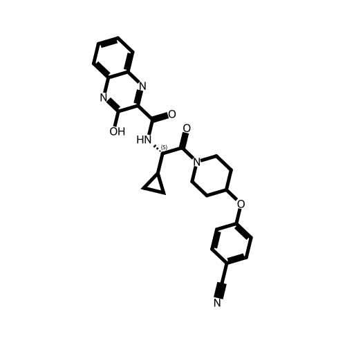 N#Cc1ccc(OC2CCN(C(=O)[C@@H](NC(=O)c3nc4ccccc4nc3O)C3CC3)CC2)cc1